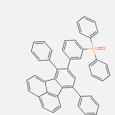 O=P(c1ccccc1)(c1ccccc1)c1cccc(-c2cc(-c3ccccc3)c3c(c2-c2ccccc2)-c2cccc4cccc-3c24)c1